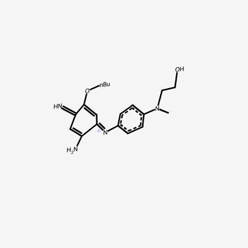 CCCCOC1=C/C(=N\c2ccc(N(C)CCO)cc2)C(N)=CC1=N